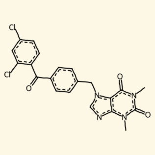 Cn1c(=O)c2c(ncn2Cc2ccc(C(=O)c3ccc(Cl)cc3Cl)cc2)n(C)c1=O